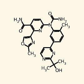 Cc1nc(-c2nc(N(C(N)=O)c3cc(-c4ccnc(C(C)(C)O)n4)ccc3C)ccc2C(N)=O)co1